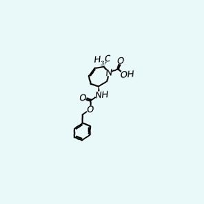 C[C@H]1C=CC[C@H](NC(=O)OCc2ccccc2)CN1C(=O)O